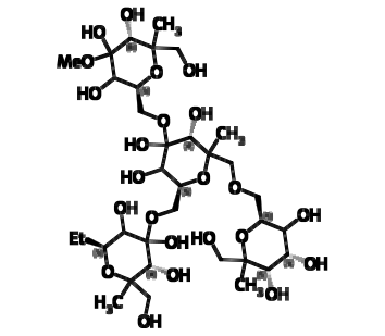 CC[C@@H]1OC(C)(CO)[C@@H](O)C(O)(OC[C@@H]2OC(C)(COC[C@@H]3OC(C)(CO)[C@@H](O)[C@@H](O)C3O)[C@@H](O)C(O)(OC[C@@H]3OC(C)(CO)[C@@H](O)C(O)(OC)C3O)C2O)C1O